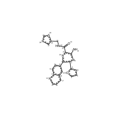 Nc1nc(-c2ncco2)c(-c2ccc3ncccc3c2)nc1C(=O)NCc1cncs1